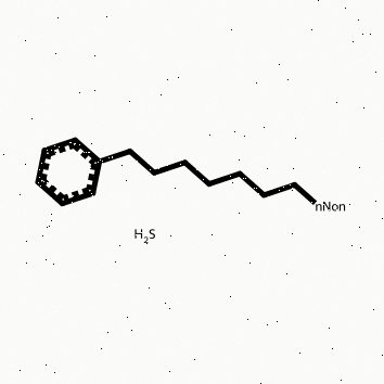 CCCCCCCCCCCCCCCCc1ccccc1.S